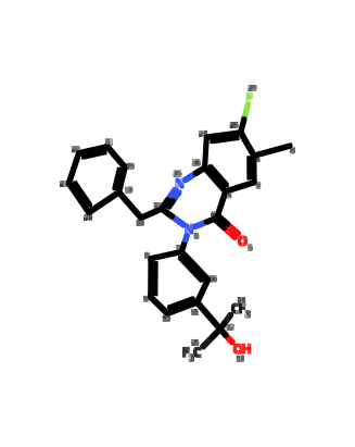 Cc1cc2c(=O)n(-c3cccc(C(O)(C(F)(F)F)C(F)(F)F)c3)c(Cc3ccccc3)nc2cc1F